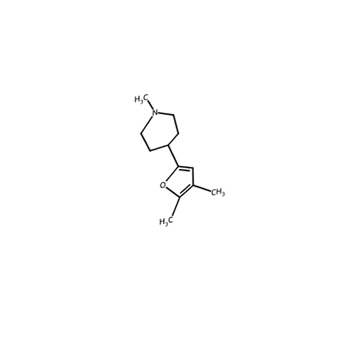 Cc1cc(C2CCN(C)CC2)oc1C